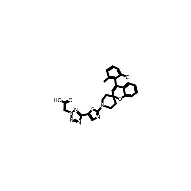 Cc1cccc(Cl)c1C1=CC2(CCN(c3ncc(-c4nnn(CC(=O)O)n4)s3)CC2)Oc2ccccc21